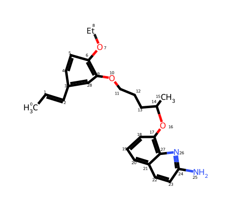 CC=Cc1ccc(OCC)c(OCCCC(C)Oc2cccc3ccc(N)nc23)c1